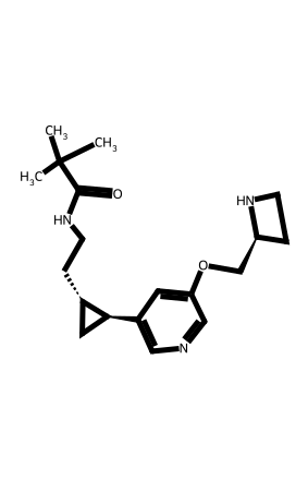 CC(C)(C)C(=O)NCC[C@H]1C[C@@H]1c1cncc(OC[C@@H]2CCN2)c1